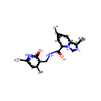 CCCc1cc(C)[nH]c(=O)c1CNC(=O)c1cc(Cl)cc2c(C(C)CC)ncn12